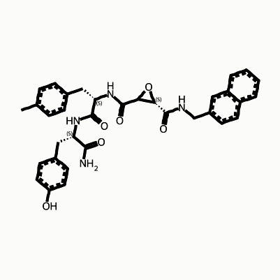 Cc1ccc(C[C@H](NC(=O)C2O[C@@H]2C(=O)NCc2ccc3ccccc3c2)C(=O)N[C@@H](Cc2ccc(O)cc2)C(N)=O)cc1